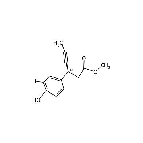 CC#C[C@@H](CC(=O)OC)c1ccc(O)c(I)c1